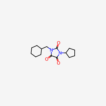 O=C1C(=O)N(C2CCCC2)C(=O)N1CC1CCCCC1